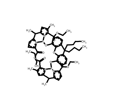 CCCCC1(CCCC)c2cccc(OP3n4c(C(=O)OCC)ccc4C(C)c4cc(C)c(C(=O)OCC)n43)c2Oc2c(OP3n4c(C(=O)OCC)ccc4C(C)c4cc(C)c(C(=O)OCC)n43)cccc21